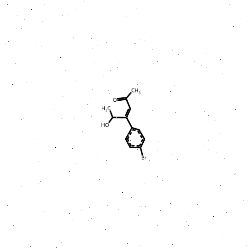 CC(=O)/C=C(/c1ccc(Br)cc1)C(C)O